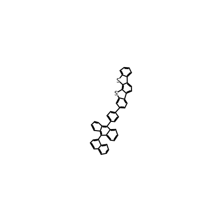 c1ccc2c(-c3c4ccccc4c(-c4ccc(-c5ccc6c(c5)sc5c6ccc6c7ccccc7sc65)cc4)c4ccccc34)cccc2c1